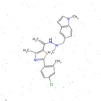 C=C(NN(C)Cc1ccc2c(ccn2C)c1)c1sc(-c2ccc(Cl)cc2C)nc1C